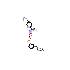 CC/C(=N\OCCOc1cccc(CC(=O)O)c1)c1ccc(C(C)C)cc1